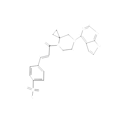 NS(=O)(=O)c1ccc(/C=C/C(=O)N2CCN(c3ncnc4[nH]ccc34)CC23CC3)cc1